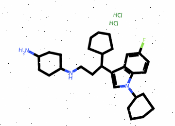 Cl.Cl.NC1CCC(NCCC(c2cn(C3CCCCC3)c3ccc(F)cc23)C2CCCCC2)CC1